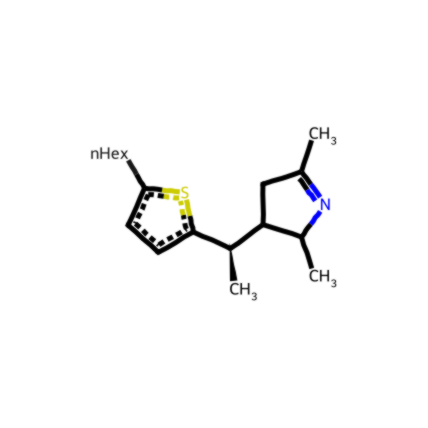 CCCCCCc1ccc([C@H](C)C2CC(C)=NC2C)s1